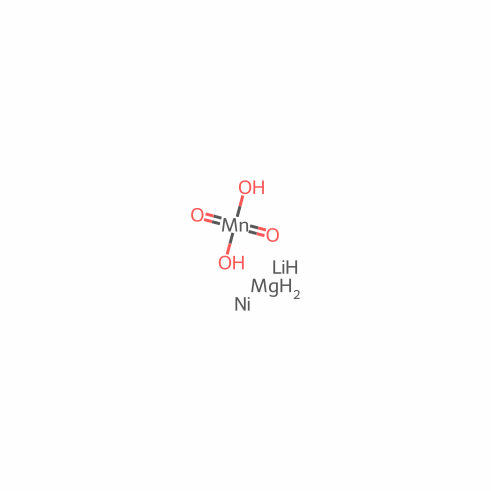 [LiH].[MgH2].[Ni].[O]=[Mn](=[O])([OH])[OH]